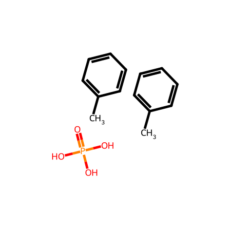 Cc1ccccc1.Cc1ccccc1.O=P(O)(O)O